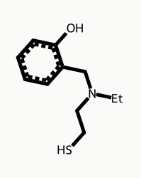 CCN(CCS)Cc1ccccc1O